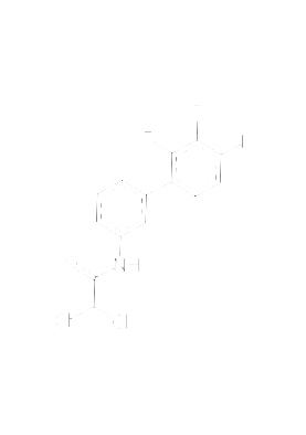 O=C(Nc1cccc(-c2ccc(F)c(F)c2F)c1)C(Cl)Cl